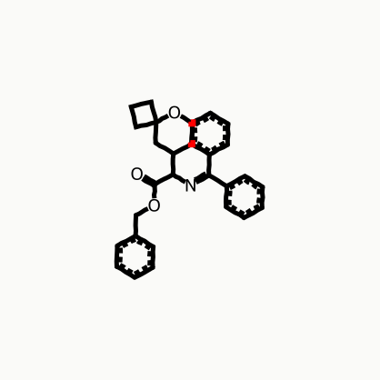 O=C(OCc1ccccc1)C(N=C(c1ccccc1)c1ccccc1)C1CCOC2(CCC2)C1